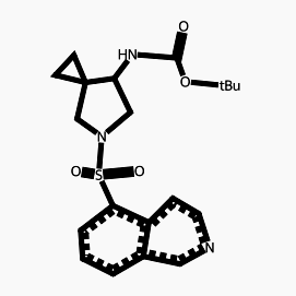 CC(C)(C)OC(=O)NC1CN(S(=O)(=O)c2cccc3cnccc23)CC12CC2